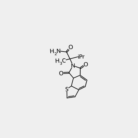 CC(C)C(C)(C(N)=O)N1C(=O)C2=CC=C3C=CSC3C2C1=O